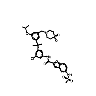 CC(C)Oc1cc(CN2CCS(=O)(=O)CC2)cc(C(C)(C)c2cc(Cl)cc(NC(=O)c3cc4cc(NS(C)(=O)=O)ccc4s3)c2)c1